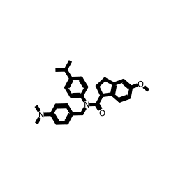 COc1ccc2c(c1)CCC2C(=O)N(Cc1ccc(N(C)C)cc1)c1ccc(C(C)C)cc1